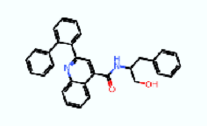 O=C(NC(CO)Cc1ccccc1)c1cc(-c2ccccc2-c2ccccc2)nc2ccccc12